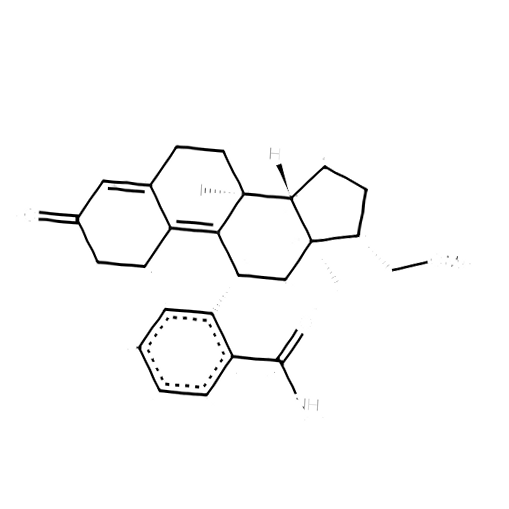 COC[C@H]1CC[C@H]2[C@@H]3CCC4=CC(=O)CCC4=C3[C@@H](c3ccccc3C(N)=O)C[C@]12C